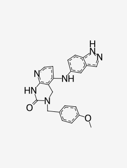 COc1ccc(CN2Cc3c(Nc4ccc5[nH]ncc5c4)ccnc3NC2=O)cc1